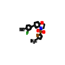 Cc1ccc(S(=O)(=O)N2CCOc3ccc(-c4ccc(C#N)c(F)c4)cc32)s1